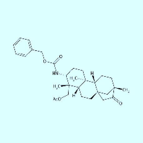 CC(=O)OC[C@@]1(C)[C@H]2CC[C@@]34CC(=O)[C@@](C)(CC[C@H]3[C@]2(C)CC[C@H]1NC(=O)OCc1ccccc1)C4